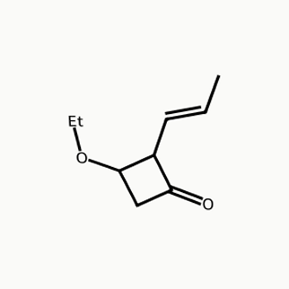 CC=CC1C(=O)CC1OCC